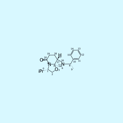 CC(C)[C@H]1CO[C@]23CCN([C@@H](C)c4ccccc4)C[C@H]2CCC(=O)N13